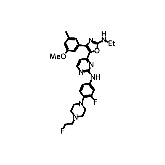 CCNc1nc(-c2cc(C)cc(OC)c2)c(-c2ccnc(Nc3ccc(N4CCN(CCF)CC4)c(F)c3)n2)o1